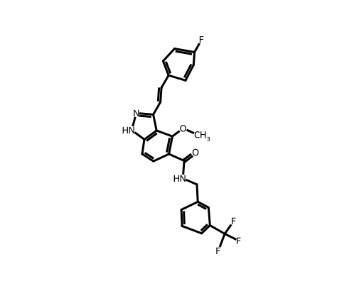 COc1c(C(=O)NCc2cccc(C(F)(F)F)c2)ccc2[nH]nc(C=Cc3ccc(F)cc3)c12